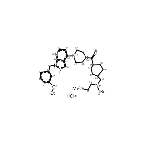 CCOc1cccc(Cn2ncc3c(N4CCN(C(=O)C5CCC(CN(CCOC)C(C)(C)C)CC5)CC4)ccnc32)c1.Cl